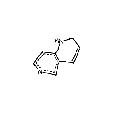 C1=Cc2cnccc2NC1